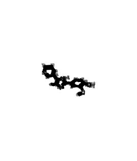 COc1cc(-c2nc(C)c(-c3cccnc3)[nH]2)ccc1O